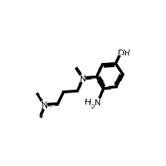 CN(C)CCCN(C)c1cc(O)ccc1N